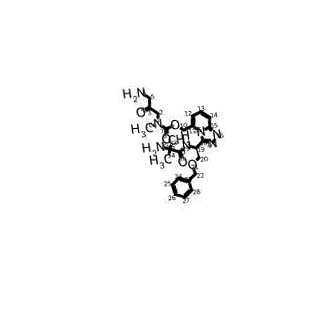 CN(CC(=O)CN)C(=O)OCc1cccc2nnc([C@@H](COCc3ccccc3)NC(=O)C(C)(C)N)n12